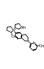 Cc1cccc(N2CCc3cc([N+]4([C@H]5CCNC5)CCC[C@@H]4C)ccc3C2)n1